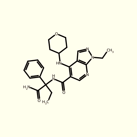 CCn1ncc2c(NC3CCOCC3)c(C(=O)NC(CC)(C(N)=O)c3ccccc3)cnc21